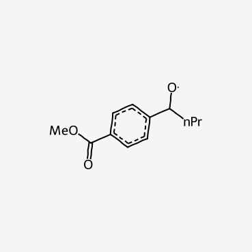 CCCC([O])c1ccc(C(=O)OC)cc1